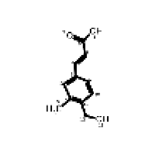 Cc1cc(/C=C/C(=O)O)ccc1CO